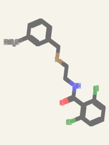 CCOC(=O)c1cccc(CSCCNC(=O)c2c(Cl)cccc2Cl)c1